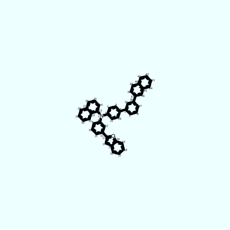 c1cc(-c2ccc(N(c3cccc(-c4cc5ccccc5o4)c3)c3cccc4ccccc34)cc2)cc(-c2ccc3ccccc3c2)c1